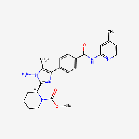 Cc1ccnc(NC(=O)c2ccc(-c3nc([C@@H]4CCCCN4C(=O)OC(C)(C)C)n(N)c3C(=O)O)cc2)c1